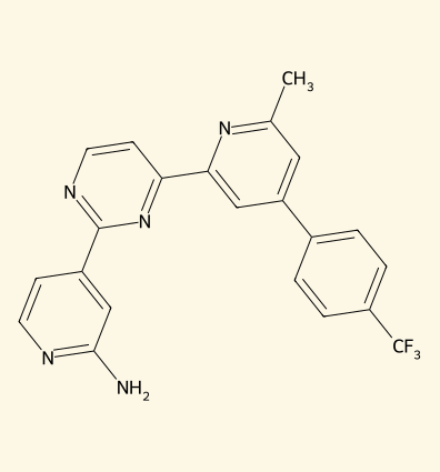 Cc1cc(-c2ccc(C(F)(F)F)cc2)cc(-c2ccnc(-c3ccnc(N)c3)n2)n1